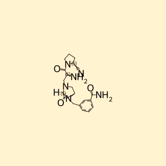 N#C[C@@H]1CCCN1C(=O)[C@@H](N)CN1CC2C[C@H]1C(=O)N2Cc1cccc(C(N)=O)c1